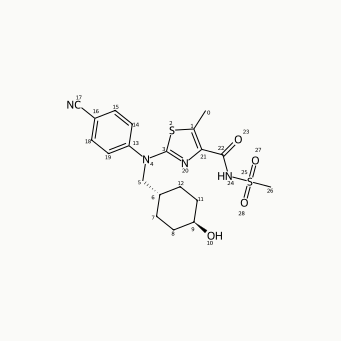 Cc1sc(N(C[C@H]2CC[C@H](O)CC2)c2ccc(C#N)cc2)nc1C(=O)NS(C)(=O)=O